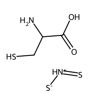 NC(CS)C(=O)O.S=[NH+][S-]